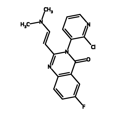 CN(C)/C=C/c1nc2ccc(F)cc2c(=O)n1-c1cccnc1Cl